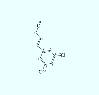 [O]C/C=C/c1cc(Cl)cc(Cl)c1